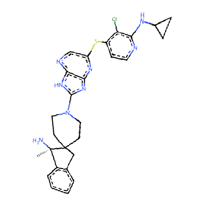 C[C@@]1(N)c2ccccc2CC12CCN(c1nc3nc(Sc4ccnc(NC5CC5)c4Cl)cnc3[nH]1)CC2